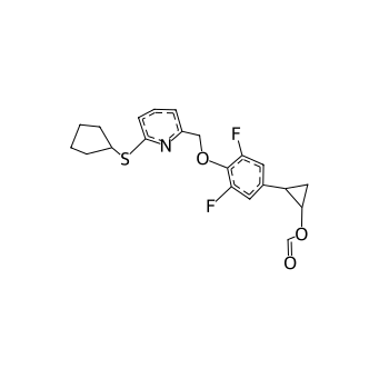 O=COC1CC1c1cc(F)c(OCc2cccc(SC3CCCC3)n2)c(F)c1